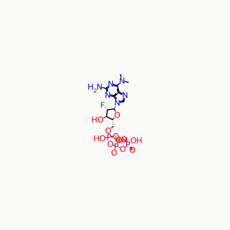 CN(C)c1nc(N)nc2c1ncn2[C@@H]1O[C@H](COP(=O)(O)OP(=O)(O)OP(=O)(O)O)[C@@H](O)[C@@H]1F